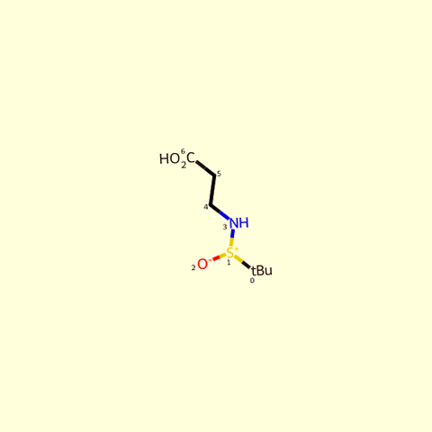 CC(C)(C)[S+]([O-])NCCC(=O)O